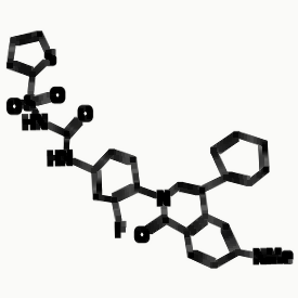 CNc1ccc2c(=O)n(-c3ccc(NC(=O)NS(=O)(=O)c4cccs4)cc3F)cc(-c3ccccc3)c2c1